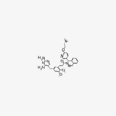 COc1cc(Cc2cnc(N)nc2N)cc(C=CC(=O)N2N=Cc3ccccc3C2c2ccc(OCCN(C)C)nc2)c1OC